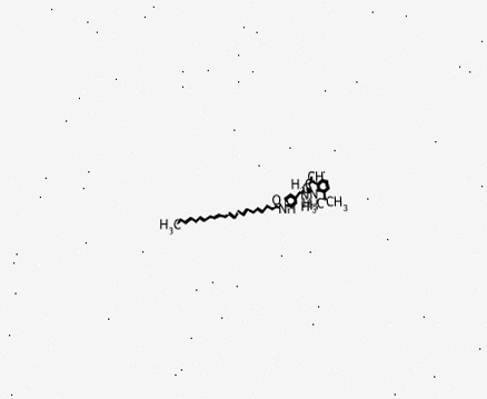 CC/C=C/C/C=C/C/C=C/C/C=C/C/C=C/C/C=C/CCC(=O)Nc1ccc(CNC(=O)Nc2c(C(C)C)cccc2C(C)C)cc1